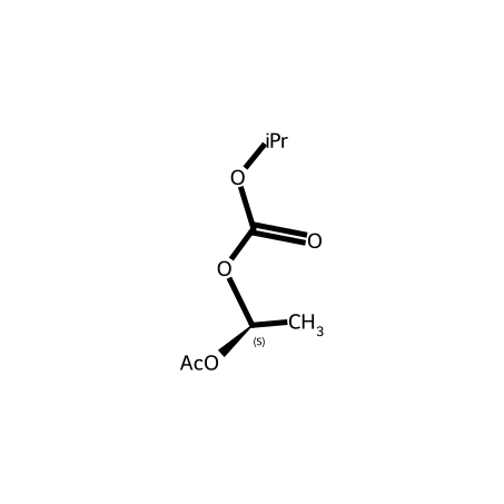 CC(=O)O[C@H](C)OC(=O)OC(C)C